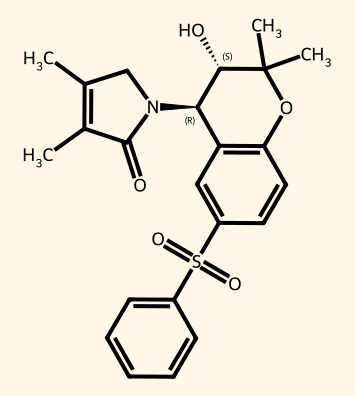 CC1=C(C)C(=O)N([C@@H]2c3cc(S(=O)(=O)c4ccccc4)ccc3OC(C)(C)[C@H]2O)C1